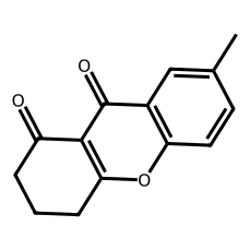 Cc1ccc2oc3c(c(=O)c2c1)C(=O)CCC3